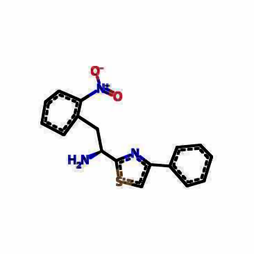 N[C@@H](Cc1ccccc1[N+](=O)[O-])c1nc(-c2ccccc2)cs1